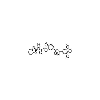 COc1ccc(-c2cc(-c3cc(OC)c(OC)c(OC)c3)no2)cc1OCC(=O)Nc1nc2ccccc2s1